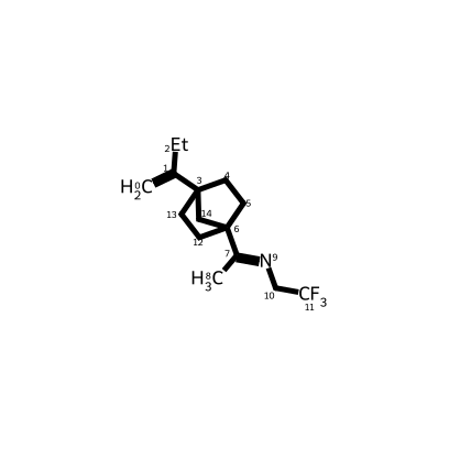 C=C(CC)C12CCC(/C(C)=N/CC(F)(F)F)(CC1)C2